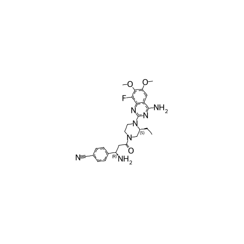 CC[C@H]1CN(C(=O)C[C@@H](N)c2ccc(C#N)cc2)CCN1c1nc(N)c2cc(OC)c(OC)c(F)c2n1